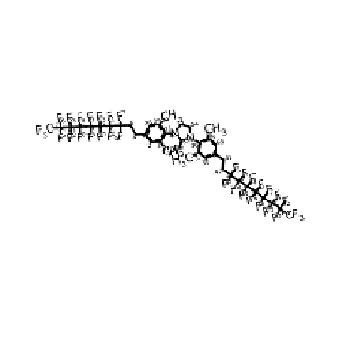 Cc1cc(CCC(F)(F)C(F)(F)C(F)(F)C(F)(F)C(F)(F)C(F)(F)C(F)(F)C(F)(F)F)cc(C)c1N1CCN(c2c(C)cc(CCC(F)(F)C(F)(F)C(F)(F)C(F)(F)C(F)(F)C(F)(F)C(F)(F)C(F)(F)F)cc2C)C1C(C)C